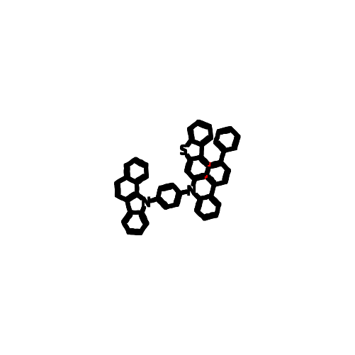 c1ccc(-c2ccc(-c3ccccc3N(c3ccc(-n4c5ccccc5c5ccc6ccccc6c54)cc3)c3ccc4c(c3)sc3ccccc34)cc2)cc1